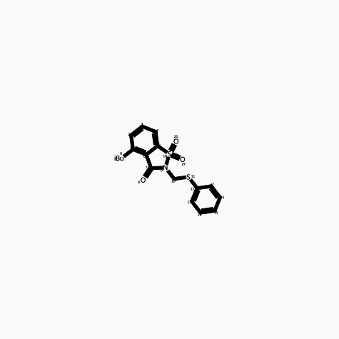 CCC(C)c1cccc2c1C(=O)N(CSc1ccccc1)S2(=O)=O